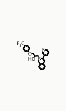 OC(COc1ccc(C(F)(F)F)cc1)CN1Cc2ccccc2C=C1c1cccnc1